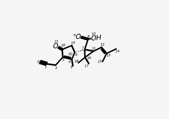 C#CCC1=C(C)[C@@H](C2(C(=O)O)C(C=C(C)C)C2(C)C)CC1=O